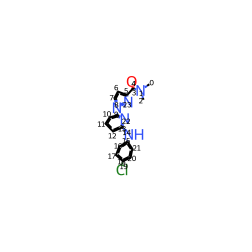 CN(C)C(=O)c1ccn(-c2cccc(Nc3ccc(Cl)cc3)n2)n1